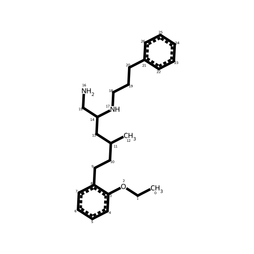 CCOc1ccccc1CCC(C)CC(CN)NCCCc1ccccc1